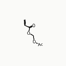 C=CC(=O)OCOC(C)=O